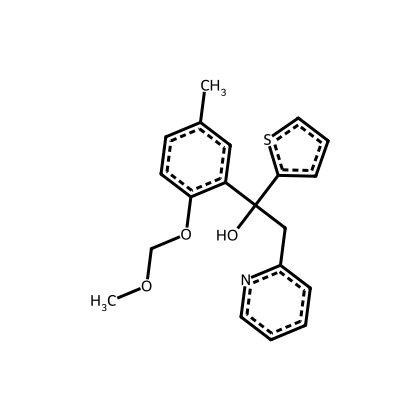 COCOc1ccc(C)cc1C(O)(Cc1ccccn1)c1cccs1